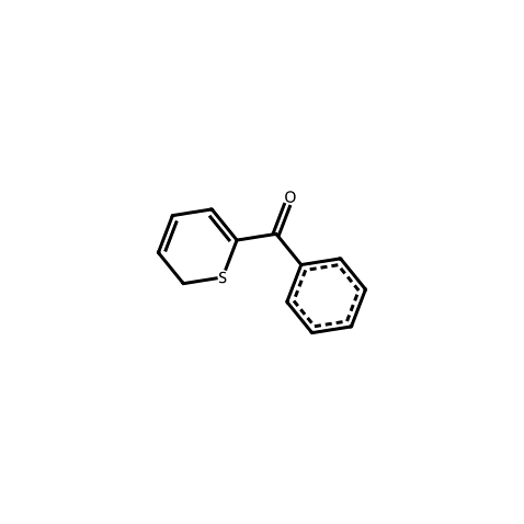 O=C(C1=CC=CCS1)c1ccccc1